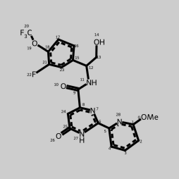 COc1cccc(-c2nc(C(=O)NC(CO)c3ccc(OC(F)(F)F)c(F)c3)cc(=O)[nH]2)n1